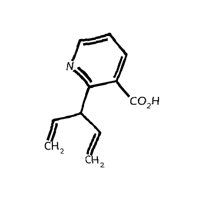 C=CC(C=C)c1ncccc1C(=O)O